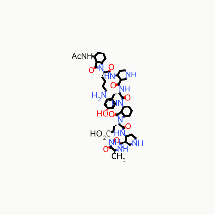 CC(=O)NC1CCCC2C1C(=O)N2[C@@H](CCCCN)C(=O)NC1CCNCC1C(=O)N[C@@H](Cc1ccc(O)cc1)C(=O)NC1CCCC2C1C(=O)N2[C@@H](CCC(=O)O)C(=O)NC1CCNCC1C(=O)N[C@@H](C)C(N)=O